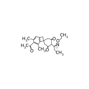 CCO/N=C(/CC)C1C(=O)CC2(CC1=O)Cc1cc(C)c(C(C)=O)c(C)c12